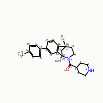 O=C(C1CCNCC1)N1CC[C@@H]2C[C@H]1c1cc(-c3ccc(C(F)(F)F)cc3)ccc12